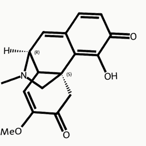 COC1=CC2[C@@H]3C=C4C=CC(=O)C(O)=C4[C@@]2(CC1=O)CN3C